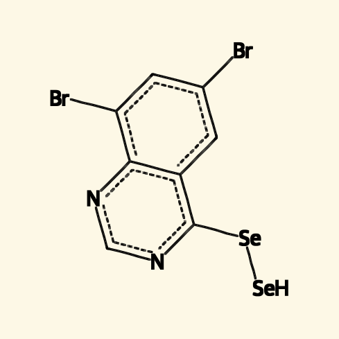 [SeH][Se]c1ncnc2c(Br)cc(Br)cc12